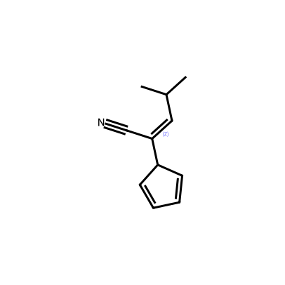 CC(C)/C=C(\C#N)C1C=CC=C1